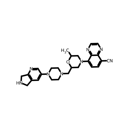 CC1CN(c2ccc(C#N)c3nccnc23)CC(CN2CCN(c3cnc4c(c3)CNC4)CC2)O1